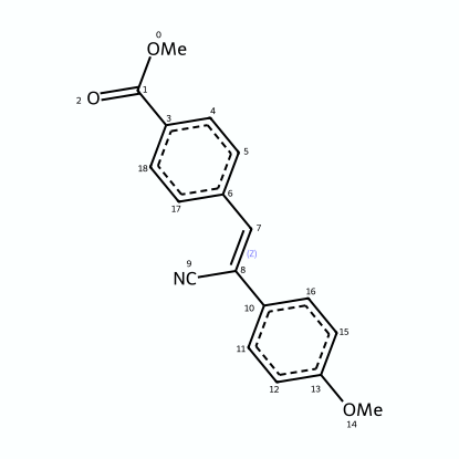 COC(=O)c1ccc(/C=C(\C#N)c2ccc(OC)cc2)cc1